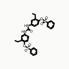 CCc1cc(NC(=O)Nc2ccc(OS(=O)(=O)c3ccccc3)c(CC)c2)ccc1OS(=O)(=O)c1ccccc1